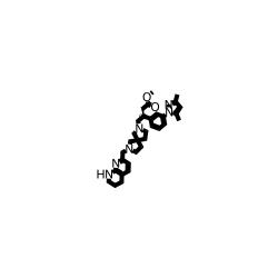 COC(=O)C[C@H](CN1CCC2(CCN(Cc3ccc4c(n3)NCCC4)C2)C1)c1cccc(-n2nc(C)cc2C)c1